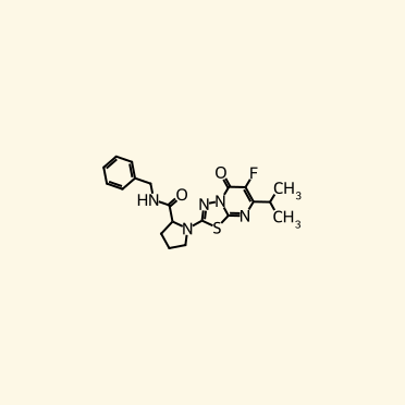 CC(C)c1nc2sc(N3CCCC3C(=O)NCc3ccccc3)nn2c(=O)c1F